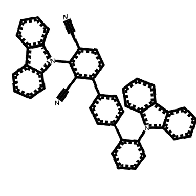 N#Cc1ccc(-c2ccc(-c3ccccc3-n3c4ccccc4c4ccccc43)cc2)c(C#N)c1-n1c2ccccc2c2ccccc21